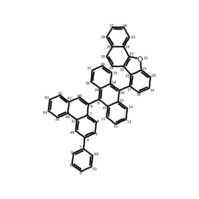 c1ccc(-c2ccc3c(-c4c5ccccc5c(-c5cccc6oc7c8ccccc8ccc7c56)c5ccccc45)cc4ccccc4c3c2)cc1